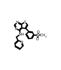 CS(=O)(=O)c1cccc(-c2csc3ncnc(NCc4ccccn4)c23)c1